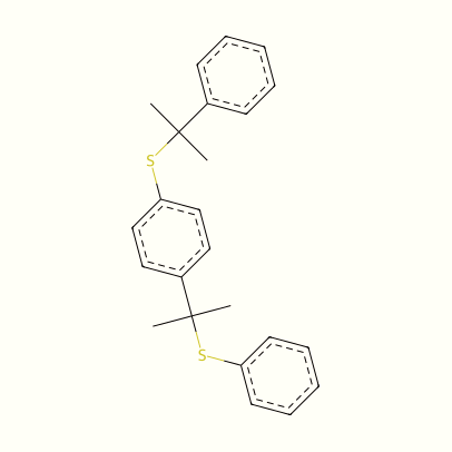 CC(C)(Sc1ccc(C(C)(C)Sc2ccccc2)cc1)c1ccccc1